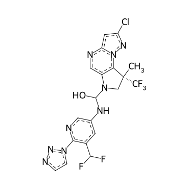 C[C@@]1(C(F)(F)F)CN(C(O)Nc2cnc(-n3ccnn3)c(C(F)F)c2)c2cnc3cc(Cl)nn3c21